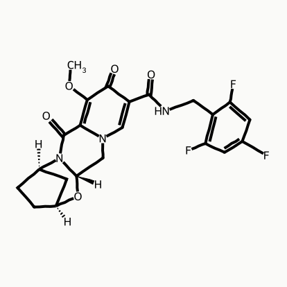 COc1c2n(cc(C(=O)NCc3c(F)cc(F)cc3F)c1=O)C[C@@H]1O[C@H]3CC[C@H](C3)N1C2=O